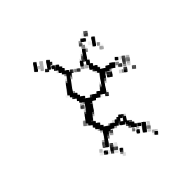 COC(C)/C=C(/CCN)CC(C)OC